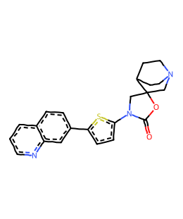 O=C1OC2(CN3CCC2CC3)CN1c1ccc(-c2ccc3cccnc3c2)s1